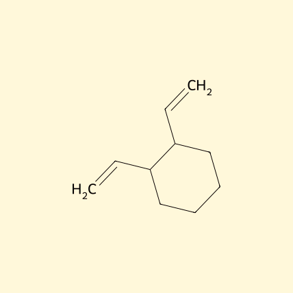 C=CC1CCCCC1C=C